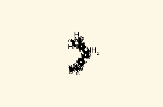 CC1CNc2cc(-c3nc(-c4ccc(S(=O)(=O)N(C)C5CC5)cc4)cnc3N)ccc2C(=O)N1